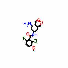 COc1ccc(F)c(C(=O)NC(CCN)CC2=COOC=C2)c1Cl